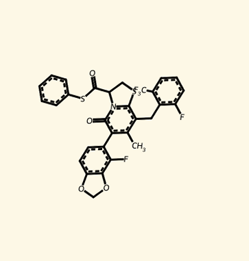 Cc1c(Cc2c(F)cccc2C(F)(F)F)c2n(c(=O)c1-c1ccc3c(c1F)OCO3)C(C(=O)Sc1ccccc1)CS2